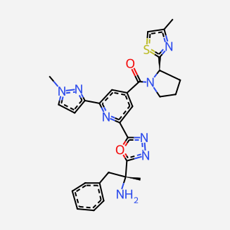 Cc1csc([C@H]2CCCN2C(=O)c2cc(-c3ccn(C)n3)nc(-c3nnc([C@](C)(N)Cc4ccccc4)o3)c2)n1